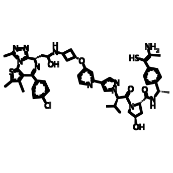 C/C(N)=C(/S)c1ccc([C@H](C)NC(=O)[C@@H]2C[C@@H](O)CN2C(=O)[C@@H](C(C)C)n2cc(-c3cc(O[C@H]4C[C@H](NC(O)C[C@@H]5N=C(c6ccc(Cl)cc6)c6c(sc(C)c6C)-n6c(C)nnc65)C4)ccn3)cn2)cc1